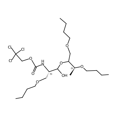 CCCCOCC(OC(O)[C@H](COCCCC)NC(=O)OCC(Cl)(Cl)Cl)[C@H](C)OCCCC